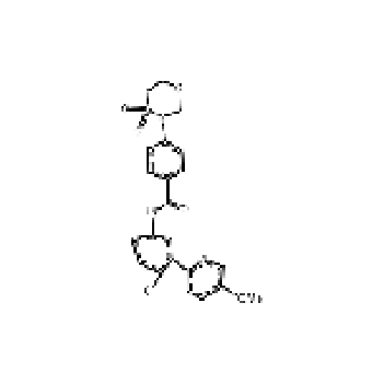 COc1ccc(-c2cc(NC(=O)c3ccc(N4COCCS4(=O)=O)cc3)ccc2Cl)nc1